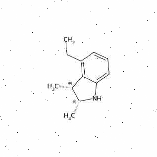 CCc1cccc2c1[C@@H](C)[C@@H](C)N2